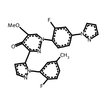 COc1cn(-c2ccc(-n3cccn3)cc2F)nc(-c2ccnn2-c2cc(C)ccc2F)c1=O